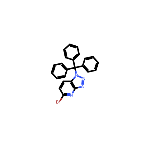 Brc1ccc2c(nnn2C(c2ccccc2)(c2ccccc2)c2ccccc2)n1